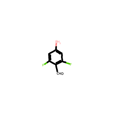 Bc1cc(F)c(C=O)c(F)c1